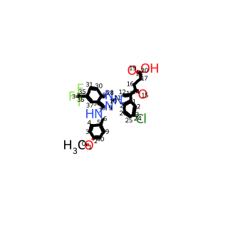 COc1ccc(CNc2nc(-n3cc(C(=O)CCC(=O)O)c4cc(Cl)ccc43)nc3ccc(C(F)(F)F)cc23)cc1